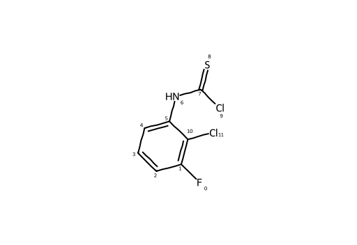 Fc1cccc(NC(=S)Cl)c1Cl